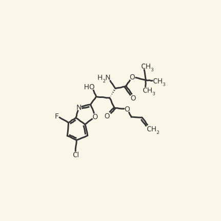 C=CCOC(=O)[C@@H](C(N)C(=O)OC(C)(C)C)C(O)c1nc2c(F)cc(Cl)cc2o1